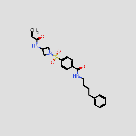 C=CC(=O)NC1CN(S(=O)(=O)c2ccc(C(=O)NCCCCc3ccccc3)cc2)C1